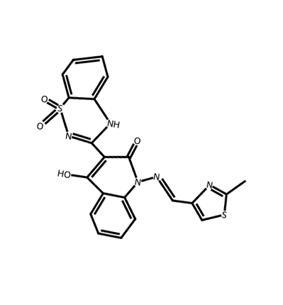 Cc1nc(C=Nn2c(=O)c(C3=NS(=O)(=O)c4ccccc4N3)c(O)c3ccccc32)cs1